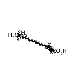 C=C(C)C(=O)OCCCCCCCCCCCCCCOC(=O)c1ccc(C(=O)O)s1